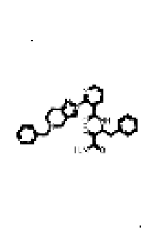 NC(=O)C(=O)C(Cc1ccccc1)NC(=O)c1cccnc1-n1cc2c(n1)CCN(Cc1ccccc1)C2